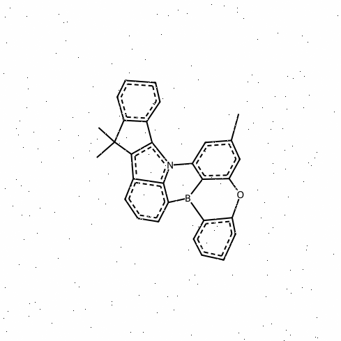 Cc1cc2c3c(c1)-n1c4c(c5cccc(c51)B3c1ccccc1O2)C(C)(C)c1ccccc1-4